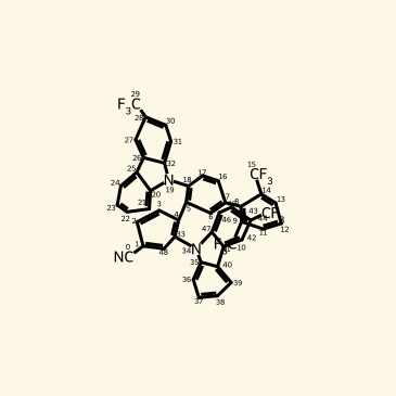 N#Cc1ccc(-c2cc(-c3c(C(F)(F)F)cccc3C(F)(F)F)ccc2-n2c3ccccc3c3cc(C(F)(F)F)ccc32)c(-n2c3ccccc3c3cc(C(F)(F)F)ccc32)c1